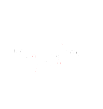 CCOC(=O)c1coc(C(C)=O)c1